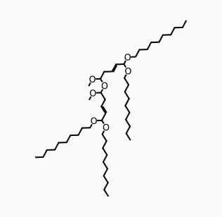 CCCCCCCCCCOC(C=CCC(OC)OC(CC=CC(OCCCCCCCCCC)OCCCCCCCCCC)OC)OCCCCCCCCCC